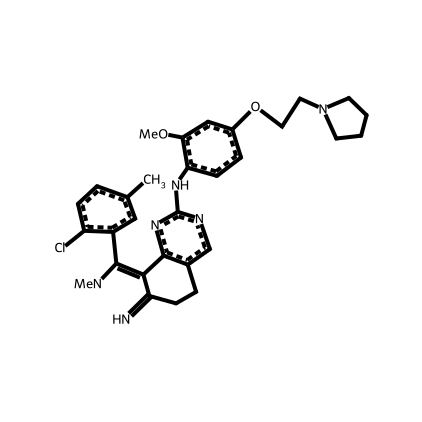 CN/C(=C1\C(=N)CCc2cnc(Nc3ccc(OCCN4CCCC4)cc3OC)nc21)c1cc(C)ccc1Cl